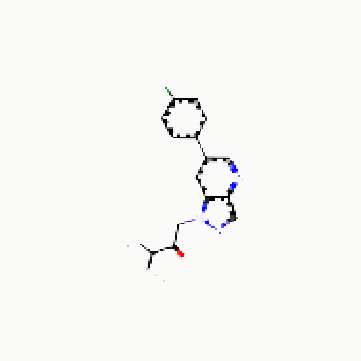 CC(C)C(=O)Cn1ncc2ncc(-c3ccc(F)cc3)cc21